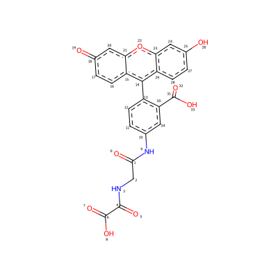 O=C(CNC(=O)C(=O)O)Nc1ccc(-c2c3ccc(=O)cc-3oc3cc(O)ccc23)c(C(=O)O)c1